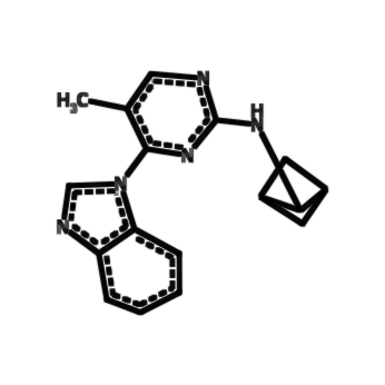 Cc1cnc(NC2C3CC2C3)nc1-n1cnc2ccccc21